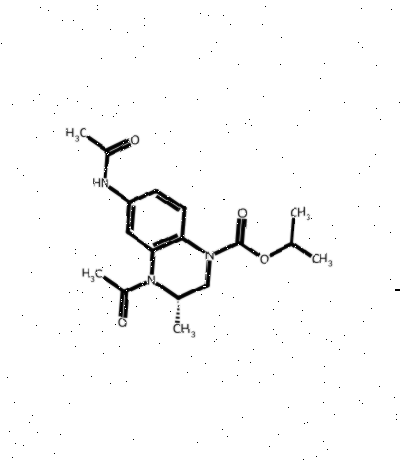 CC(=O)Nc1ccc2c(c1)N(C(C)=O)[C@@H](C)CN2C(=O)OC(C)C